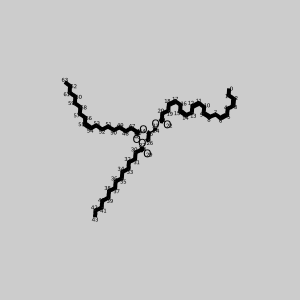 CC/C=C\C/C=C\C/C=C\C/C=C\C/C=C\C/C=C\CCC(=O)OC[C@@H](COC(=O)CCCCCCCCCCCCCC)OC(=O)CCCCCCC/C=C\CCCCCCCC